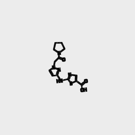 O=C(O)c1cnc(Nc2ccn(CC(=O)N3CCCC3)n2)s1